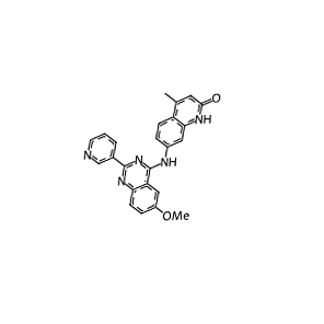 COc1ccc2nc(-c3cccnc3)nc(Nc3ccc4c(C)cc(=O)[nH]c4c3)c2c1